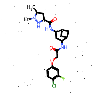 CCN1NC(C(=O)NC2CC(NC(=O)COc3ccc(Cl)c(F)c3)C3CC2C3)CC1C